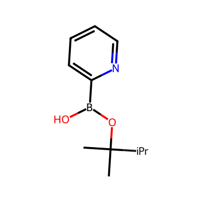 CC(C)C(C)(C)OB(O)c1ccccn1